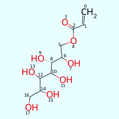 C=CC(=O)OCC(O)[C@@H](O)C(O)C(O)C(O)CO